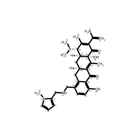 C=C(N)C1=C(C)[C@@H](N(C)C)[C@@H]2C[C@@H]3Cc4c(CNCc5cccn5C)ccc(O)c4C(=O)C3=C(C)[C@]2(O)C1=O